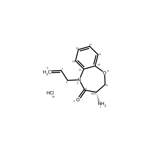 C=CCN1C(=O)[C@@H](N)COc2ccccc21.Cl